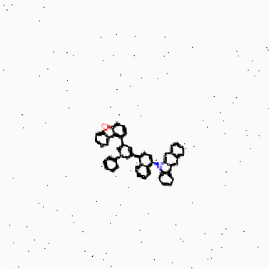 c1ccc(-c2cc(-c3ccc(-n4c5ccccc5c5cc6ccccc6cc54)c4ccccc34)cc(-c3cccc4oc5ccccc5c34)c2)cc1